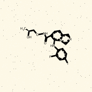 C[C@H](O)CONC(=O)c1ccc2cncn2c1Nc1ccc(I)cc1F